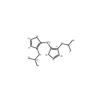 CC(C)CC1=[C]([V][C]2=C(CC(C)C)C=CC2)CC=C1